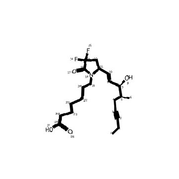 CCC#CC[C@H](C)[C@H](O)/C=C/C1CC(F)(F)C(=O)N1CCCCCCC(=O)O